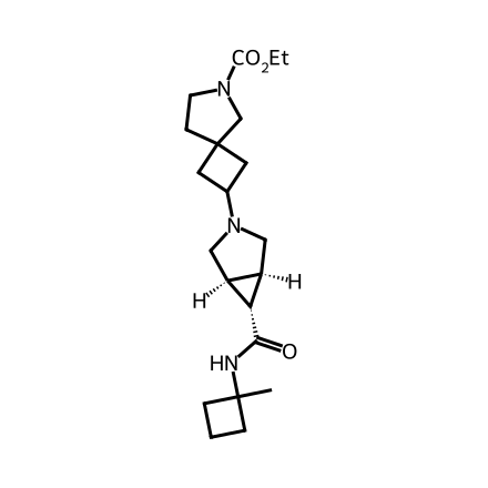 CCOC(=O)N1CCC2(CC(N3C[C@@H]4[C@H](C3)[C@H]4C(=O)NC3(C)CCC3)C2)C1